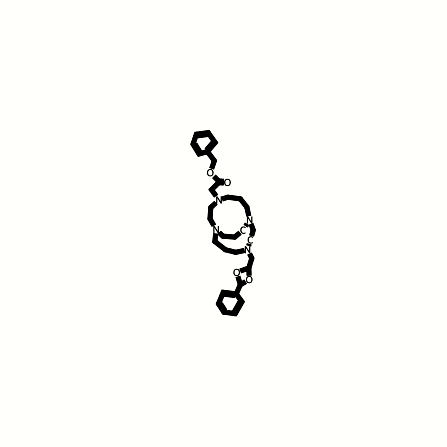 O=C(CN1CCCN2CCCN(CCCN(CC3OC(c4ccccc4)O3)CC2)CC1)OCc1ccccc1